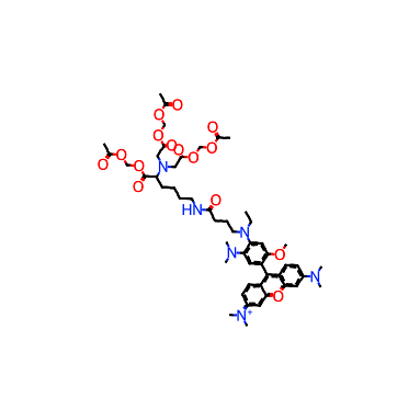 CCN(CCCC(=O)NCCCCC(C(=O)OCOC(C)=O)N(CC(=O)OCOC(C)=O)CC(=O)OCOC(C)=O)c1cc(OC)c(-c2c3ccc(=[N+](C)C)cc-3oc3cc(N(C)C)ccc23)cc1N(C)C